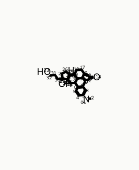 CN(C)c1ccc2c(c1)C[C@]13CCC(=O)C=C1CC[C@@H]1C3C2C[C@@]2(C)[C@@H]1CC[C@]2(O)CCCO